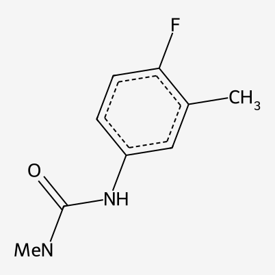 CNC(=O)Nc1ccc(F)c(C)c1